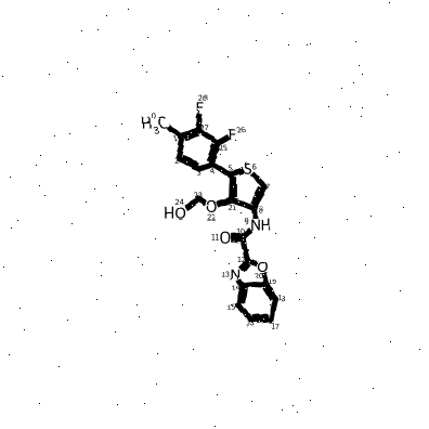 Cc1ccc(-c2scc(NC(=O)c3nc4ccccc4o3)c2OCO)c(F)c1F